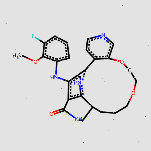 COc1c(F)cccc1Nc1c2[nH]c3c1C(=O)NCC3CCCOCCOc1cnccc1-2